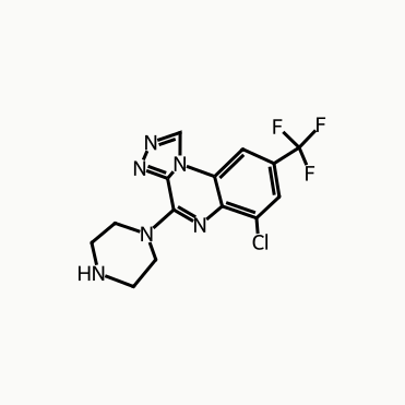 FC(F)(F)c1cc(Cl)c2nc(N3CCNCC3)c3nncn3c2c1